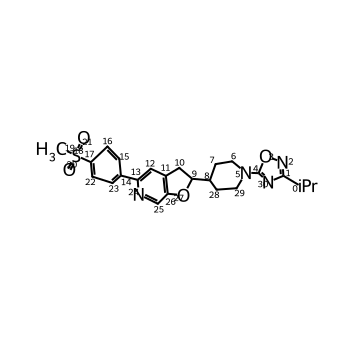 CC(C)c1noc(N2CCC(C3Cc4cc(-c5ccc(S(C)(=O)=O)cc5)ncc4O3)CC2)n1